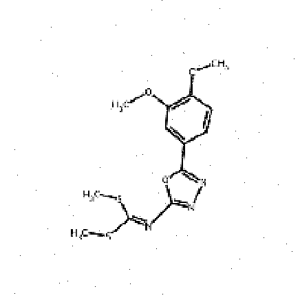 COc1ccc(-c2nnc(N=C(SC)SC)o2)cc1OC